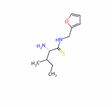 CCC(C)[C@H](N)C(=S)NCc1ccco1